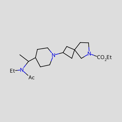 CCOC(=O)N1CCC2(CC(N3CCC(C(C)N(CC)C(C)=O)CC3)C2)C1